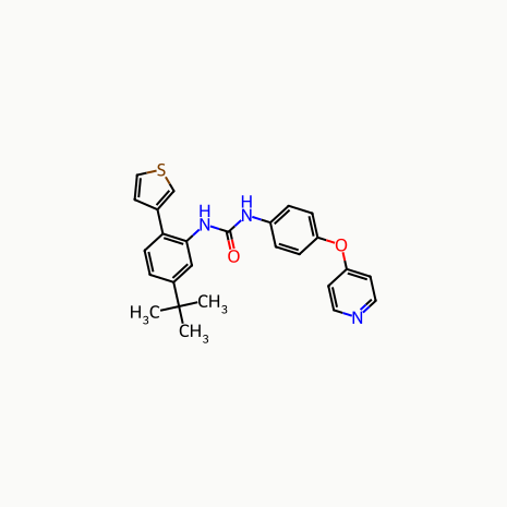 CC(C)(C)c1ccc(-c2ccsc2)c(NC(=O)Nc2ccc(Oc3ccncc3)cc2)c1